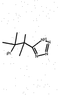 CC(C)C(C)(C)C(C)(C)c1nnn[nH]1